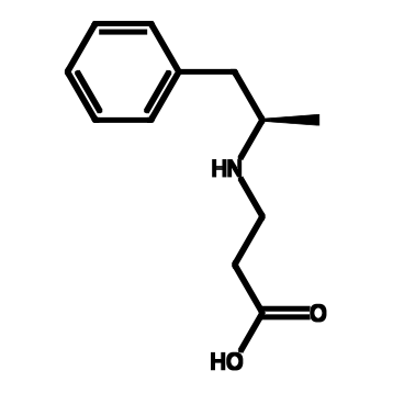 C[C@H](Cc1ccccc1)NCCC(=O)O